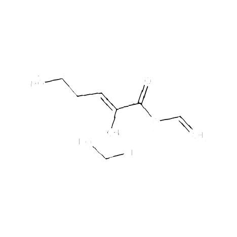 C=COC(=O)/C(C)=C/CCO.CCO